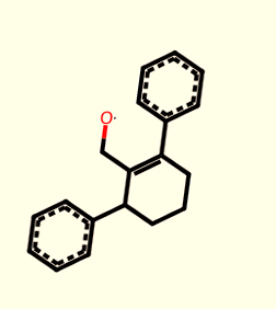 [O]CC1=C(c2ccccc2)CCCC1c1ccccc1